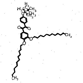 CCCCCCCCCCCCOc1ccc(C(=O)C(=O)c2ccc(O[Si](C)(C)C(C)(C)C)cc2)cc1OCCCCCCCCCCCC